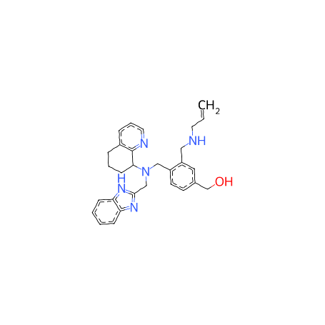 C=CCNCc1cc(CO)ccc1CN(Cc1nc2ccccc2[nH]1)C1CCCc2cccnc21